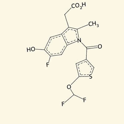 Cc1c(CC(=O)O)c2cc(O)c(F)cc2n1C(=O)c1csc(OC(F)F)c1